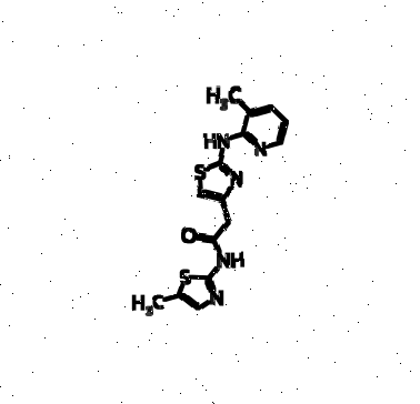 Cc1cnc(NC(=O)Cc2csc(Nc3ncccc3C)n2)s1